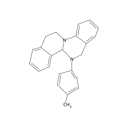 Cc1ccc(N2Cc3ccccc3N3CCc4ccccc4C23)cc1